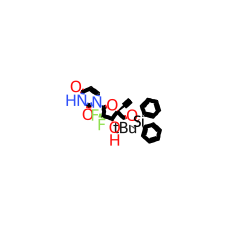 C#C[C@]1(CO[Si](c2ccccc2)(c2ccccc2)C(C)(C)C)O[C@@H](n2ccc(=O)[nH]c2=O)C(F)(F)[C@@H]1O